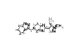 Cc1c(-c2nc3ccn(Cn4nnc5ccccc54)cc-3n2)cnn1C